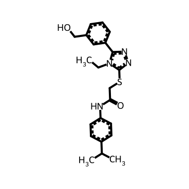 CCn1c(SCC(=O)Nc2ccc(C(C)C)cc2)nnc1-c1cccc(CO)c1